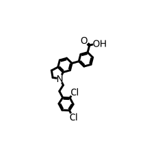 O=C(O)c1cccc(-c2ccc3c(c2)N(CCc2ccc(Cl)cc2Cl)CC3)c1